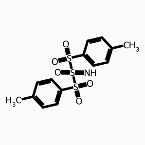 Cc1ccc(S(=O)(=O)S(=N)(=O)S(=O)(=O)c2ccc(C)cc2)cc1